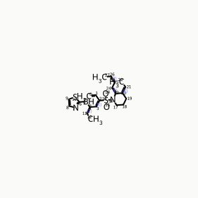 C=C/C(=C\C(Bc1nccs1)=C/C)S(=O)(=O)N1CCCC(=C/C)/C1=C\C=C/C